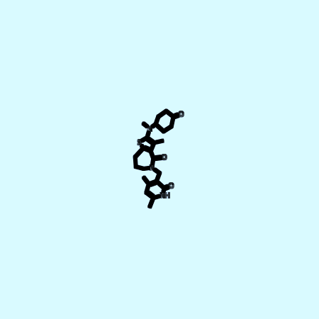 Cc1cc(C)c(CN2CCCc3sc(N(C)C4CCC(=O)CC4)c(C)c3C2=O)c(=O)[nH]1